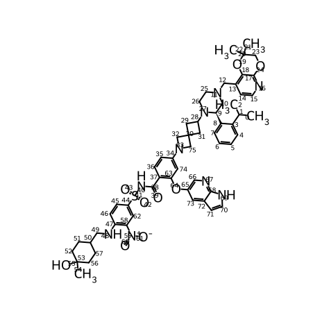 CC(C)c1ccccc1[C@@H]1CN(Cc2ccnc3c2OC(C)(C)CO3)CCN1C1CC2(C1)CN(c1ccc(C(=O)NS(=O)(=O)c3ccc(NCC4CCC(C)(O)CC4)c([N+](=O)[O-])c3)c(Oc3cnc4[nH]ccc4c3)c1)C2